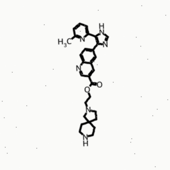 Cc1cccc(-c2[nH]cnc2-c2ccc3ncc(C(=O)OCCN4CCC5(CCNCC5)C4)cc3c2)n1